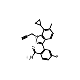 C#CCn1nc(-c2cc(F)ccc2C(N)=O)c2ccc(C)c(C3CC3)c21